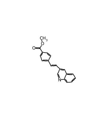 COC(=O)c1ccc(/C=C/c2cnc3ccccc3c2)cc1